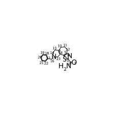 NC(=O)c1nc2c(s1)C1=C(CCC2)CCN(Cc2ccccc2)C1